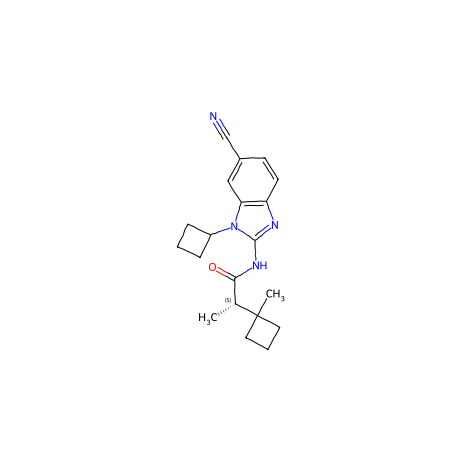 C[C@H](C(=O)Nc1nc2ccc(C#N)cc2n1C1CCC1)C1(C)CCC1